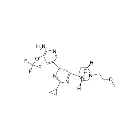 COCCN1C[C@@H]2CC[C@H]1CN2c1cc(-c2cnc(N)c(OC(F)(F)F)c2)nc(C2CC2)n1